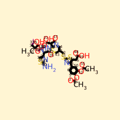 CC(=O)Oc1ccc(-c2nc(SCC3=CN4C(=O)C(C(=O)O)[C@@]4(NC(=O)C(=NOC(C)(CI)C(=O)O)c4csc(N)n4)SC3)sc2CC(=O)O)cc1OC(C)=O